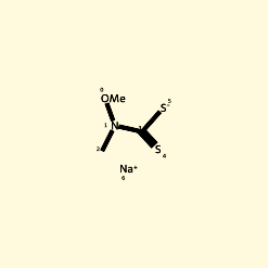 CON(C)C(=S)[S-].[Na+]